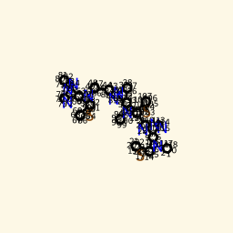 c1ccc(-n2c3cc4c(cc3c3c5c(ccc32)sc2ccccc25)c2ncc(-c3cc5c(c6cc7c8ccccc8n8c9ccc(-c%10cccc(-n%11c%12cc%13c(cc%12c%12c%14c(ccc%12%11)sc%11ccccc%11%14)c%11ncccc%11n%11c%12ccccc%12nc%13%11)c%10)cc9nc8c7cc6n5-c5ccccc5)c5c3sc3ccccc35)cc2n2ccnc42)cc1